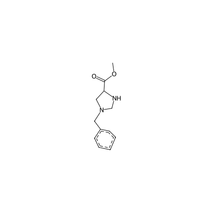 COC(=O)C1CN(Cc2ccccc2)CN1